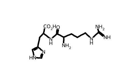 N=C(N)NCCCC(N)C(=O)NC(Cc1c[nH]cn1)C(=O)O